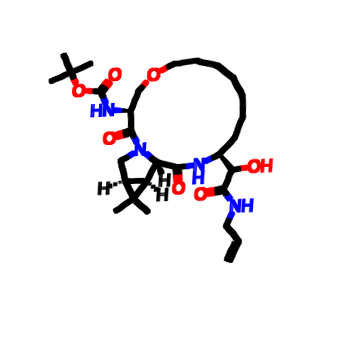 C=CCNC(=O)C(O)[C@@H]1CCCCCCCOC[C@H](NC(=O)OC(C)(C)C)C(=O)N2C[C@H]3[C@@H]([C@H]2C(=O)N1)C3(C)C